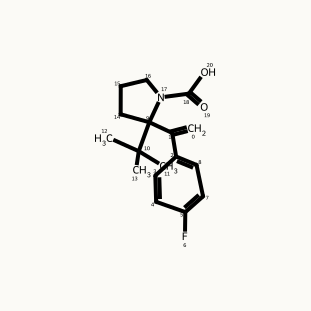 C=C(c1ccc(F)cc1)C1(C(C)(C)C)CCCN1C(=O)O